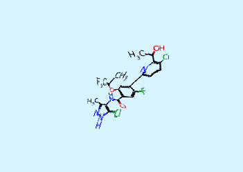 Cc1n[nH]c(Cl)c1NC(=O)c1cc(F)c(-c2ccc(Cl)c(C(C)O)n2)cc1OC(C)C(F)(F)F